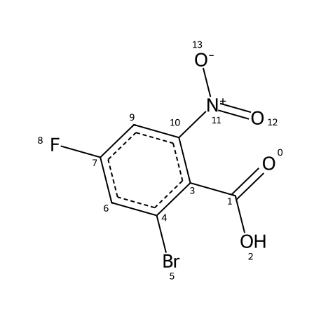 O=C(O)c1c(Br)cc(F)cc1[N+](=O)[O-]